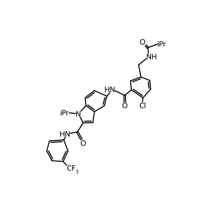 CC(C)C(=O)NCc1ccc(Cl)c(C(=O)Nc2ccc3c(c2)cc(C(=O)Nc2cccc(C(F)(F)F)c2)n3C(C)C)c1